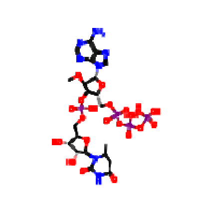 CO[C@@H]1[C@H](OP(=O)(O)OC[C@H]2O[C@@H](N3C(=O)NC(=O)CC3C)[C@H](O)[C@@H]2O)[C@@H](COP(=O)(O)OP(=O)(O)OP(=O)(O)O)O[C@H]1n1cnc2c(N)ncnc21